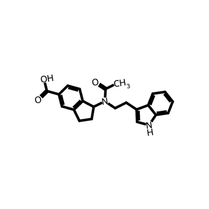 CC(=O)N(CCc1c[nH]c2ccccc12)C1CCc2cc(C(=O)O)ccc21